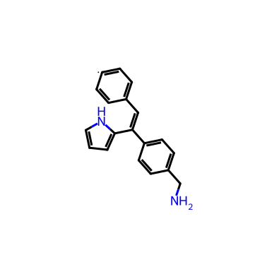 NCc1ccc(C(=Cc2cc[c]cc2)c2ccc[nH]2)cc1